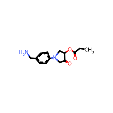 CCC(=O)OC1CN(c2ccc(CN)cc2)CC1=O